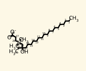 CCCCCCCCCCCCCCCCCCC(O)(CC)C[N+](C)(C)CCC(=O)[O-]